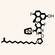 C#Cc1c(F)ccc2cc(O)cc(-c3ncc4c(N5CC6CCC(C5)N6)nc(O[C@H]5CCN(CCCCCCCCCCCC(=C)C)C5)nc4c3F)c12